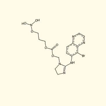 O=C(OCCCON(O)O)OCN1CCN=C1Nc1ccc2nccnc2c1Br